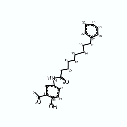 CC(=O)c1cc(NC(=O)CCCCCCCCc2ccccc2)ccc1O